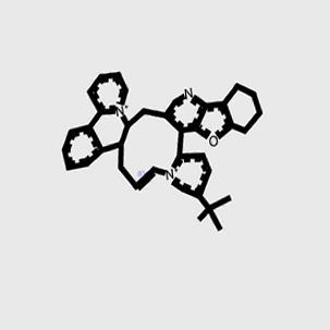 CC(C)(C)c1ccc2[n+](c1)/C=C/CC1c3ccccc3-c3cccc[n+]3C1Cc1cnc3c4c(oc3c1-2)CCCC4